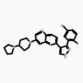 Fc1ccc(Cl)cc1-c1n[nH]cc1-c1ccc2ncc(N3CCC(N4CCCC4)CC3)cc2n1